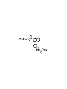 COCCOC(=O)c1cc(-c2cccc(CNC(=O)OC(C)(C)C)c2)c2ccccc2c1